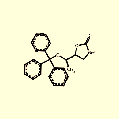 CC(OC(c1ccccc1)(c1ccccc1)c1ccccc1)C1CNC(=O)O1